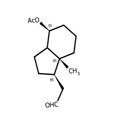 CC(=O)O[C@H]1CCC[C@@]2(C)C1CC[C@@H]2CC=O